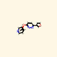 c1cc(-c2ccc(OC3CN4CCC3CC4)nn2)co1